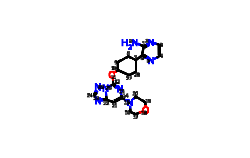 Nc1nccnc1C1CCC(Oc2nc(N3CCOCC3)cc3ncnn23)CC1